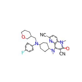 CN(c1c(C#N)c(=O)n(C)c2ccc(C#N)nc12)C1CCC(N(CC2CCCOC2)c2ccc(F)cc2)CC1